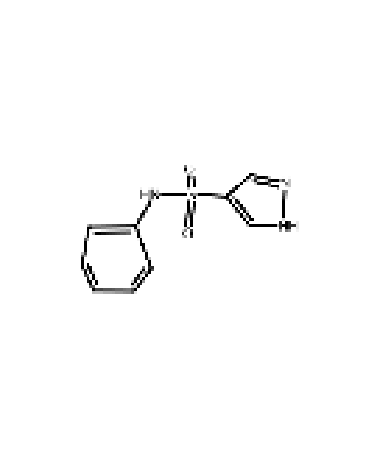 O=S(=O)(Nc1ccccc1)c1cn[nH]c1